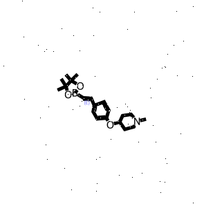 CN1CCC(Oc2ccc(/C=C/B3OC(C)(C)C(C)(C)O3)cc2)CC1